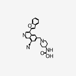 N#Cc1cc(CN2CCC(NC(=O)O)CC2)cc2c(-c3cc4ccccc4o3)cncc12